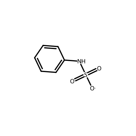 [O]S(=O)(=O)Nc1ccccc1